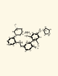 C[C@@H]1C[C@H](N)CN(c2ccncc2NCc2ccc(F)c(-c3c(F)cc(O[C@@H]4CCOC4)cc3F)n2)C1